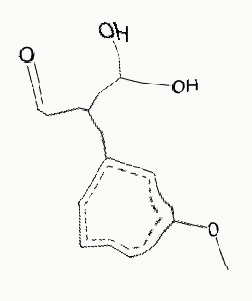 COc1cccc(C(C=O)C(O)O)c1